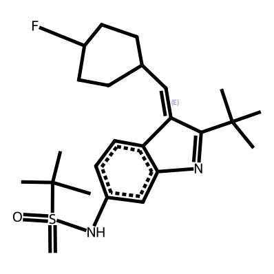 C=S(=O)(Nc1ccc2c(c1)N=C(C(C)(C)C)/C2=C/C1CCC(F)CC1)C(C)(C)C